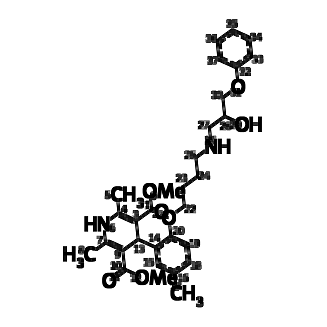 COC(=O)C1=C(C)NC(C)=C(C(=O)OC)C1c1cc(C)ccc1OCCCCNCC(O)COc1ccccc1